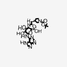 CC(C)(C)OC(=O)N1CC[C@H](CC(=O)N[C@@H]2[C@@H](O)[C@H](O)[C@@H](Nc3ncnc4nc[nH]c34)O[C@H]2CO)C1